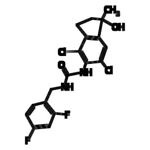 CC1(O)CCc2c1cc(Cl)c(NC(=O)NCc1ccc(F)cc1F)c2Cl